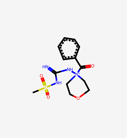 CS(=O)(=O)NC(=N)N[N+]1(C(=O)c2ccccc2)CCOCC1